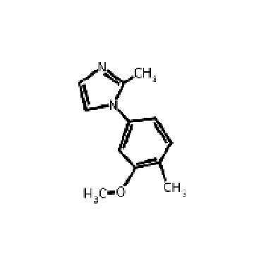 COc1cc(-n2ccnc2C)ccc1C